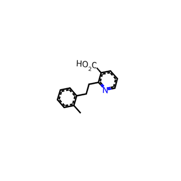 Cc1ccccc1CCc1ncccc1C(=O)O